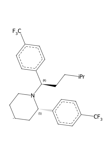 CC(C)CC[C@H](c1ccc(C(F)(F)F)cc1)N1CC[CH]C[C@H]1c1ccc(C(F)(F)F)cc1